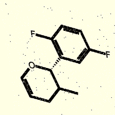 CC1CC=CO[C@@H]1c1cc(F)ccc1F